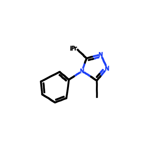 Cc1nnc(C(C)C)n1-c1ccccc1